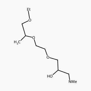 CCOCC(C)OCCOCC(O)CNC